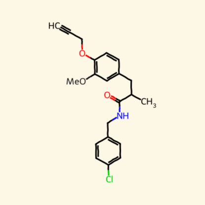 C#CCOc1ccc(CC(C)C(=O)NCc2ccc(Cl)cc2)cc1OC